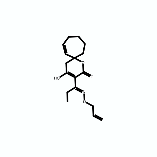 C=CCON=C(CC)C1=C(O)CC2(C=CCCCC2)OC1=O